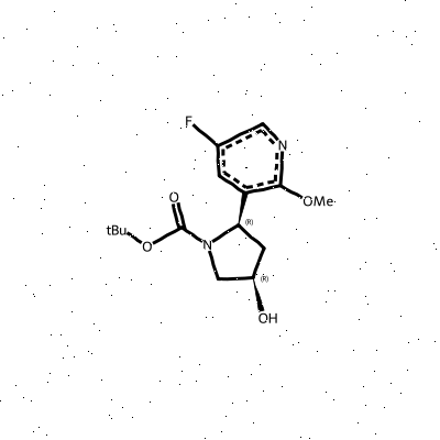 COc1ncc(F)cc1[C@H]1C[C@@H](O)CN1C(=O)OC(C)(C)C